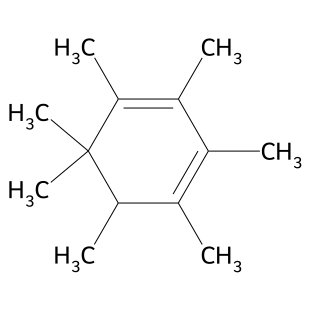 CC1=C(C)C(C)C(C)(C)C(C)=C1C